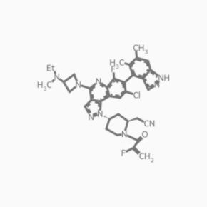 C=C(F)C(=O)N1CC[C@H](n2ncc3c(N4CC(N(C)CC)C4)nc4c(F)c(-c5c(C)c(C)cc6[nH]ncc56)c(Cl)cc4c32)C[C@H]1CC#N